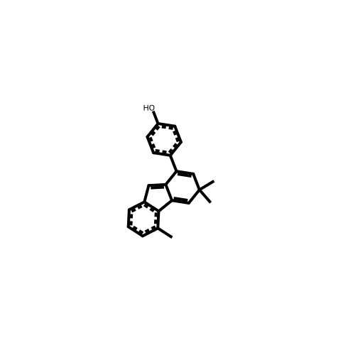 Cc1cccc2c1C1=CC(C)(C)C=C(c3ccc(O)cc3)C1=C2